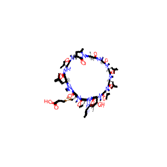 C/C=C/C[C@@H](C)[C@@H](O)[C@@H]1C(=O)N[C@H](CC)C(=O)N(C)[C@H](CSCCC(=O)O)C(=O)N(C)[C@@H](CC(C)C)C(=O)N[C@H](C(C)C)C(=O)N(C)[C@@H]2CC(C)N(C2=O)[C@H](C)C(=O)N[C@@H](C)C(=O)N(C)[C@H](CC(C)C)C(=O)N(C)[C@H](CC(C)C)C(=O)N(C)[C@H](C(C)C)C(=O)N1C